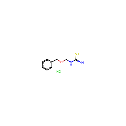 Cl.N=C(S)NCOCc1ccccc1